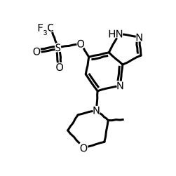 CC1COCCN1c1cc(OS(=O)(=O)C(F)(F)F)c2[nH]ncc2n1